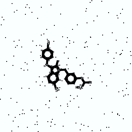 CCC(Oc1cccc(Cn2c(C)c(Oc3ccc(Cl)cc3)c3ccc(C(F)(F)F)cc32)c1)C(=O)O